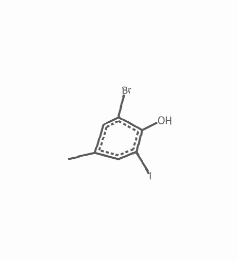 Cc1cc(Br)c(O)c(I)c1